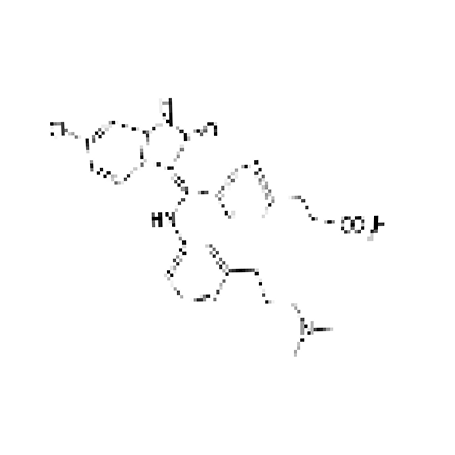 CN(C)CCCc1cccc(NC(=C2C(=O)Nc3cc(Cl)ccc32)c2ccc(CCC(=O)O)cc2)c1